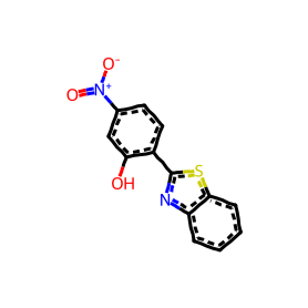 O=[N+]([O-])c1ccc(-c2nc3ccccc3s2)c(O)c1